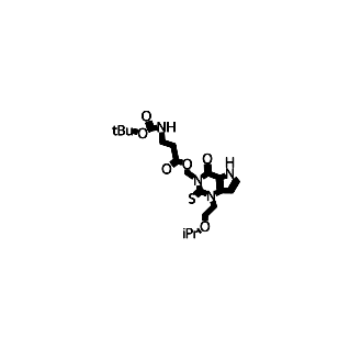 CC(C)OCCn1c(=S)n(COC(=O)CCNC(=O)OC(C)(C)C)c(=O)c2[nH]ccc21